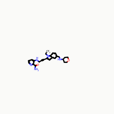 NC(=O)c1ncccc1NCC#Cc1cc2cc(CNC3CCOCC3)ccc2n1CC(F)(F)F